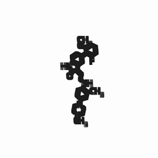 COc1cccc(F)c1-c1ccc2c(c1)/C(=C/CNc1ccc(N3CCN(C)CC3)cc1C)C(=O)N2